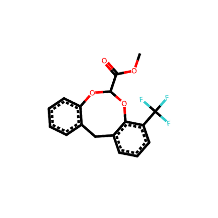 COC(=O)C1Oc2ccccc2Cc2cccc(C(F)(F)F)c2O1